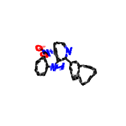 O=[N+]([O-])c1ccnc(-c2ccc3ccccc3c2)c1Nc1ccccc1